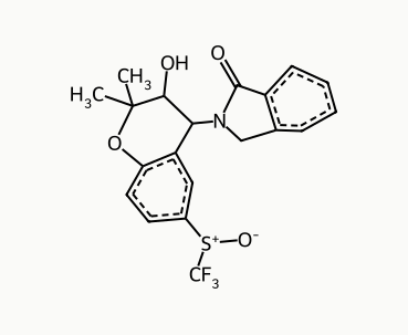 CC1(C)Oc2ccc([S+]([O-])C(F)(F)F)cc2C(N2Cc3ccccc3C2=O)C1O